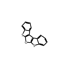 c1ccc2c(c1)sc1oc3sc4ccccc4c3c12